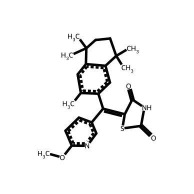 COc1ccc(/C(=C2\SC(=O)NC2=O)c2cc3c(cc2C)C(C)(C)CCC3(C)C)cn1